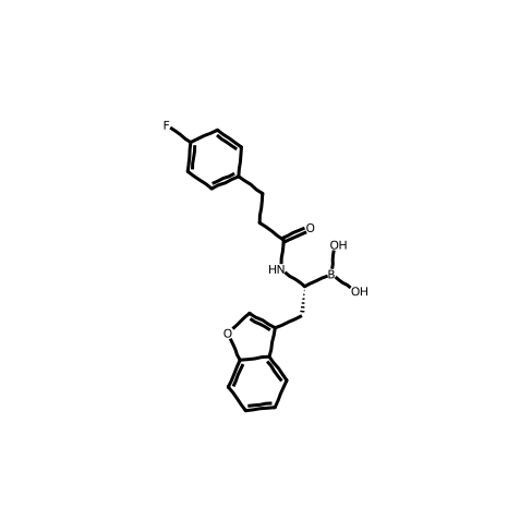 O=C(CCc1ccc(F)cc1)N[C@@H](Cc1coc2ccccc12)B(O)O